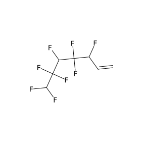 C=CC(F)C(F)(F)C(F)C(F)(F)C(F)F